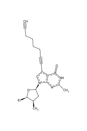 C#CCCCCC#Cc1cn([C@H]2C[C@@H](C)[C@@H](CC)O2)c2nc(C)[nH]c(=O)c12